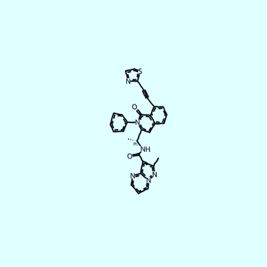 Cc1nn2cccnc2c1C(=O)N[C@H](C)c1cc2cccc(C#Cc3nccs3)c2c(=O)n1-c1ccccc1